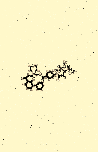 CCO[PH](=O)C(N(C)C(=S)Nc1ccc(C(=O)OC[N+]2(c3cc(=O)c4cccc(-c5ccccc5)c4o3)CCOCC2)cc1)P(=O)(OCC)OCC